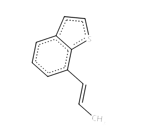 C/C=C/c1cccc2ccsc12